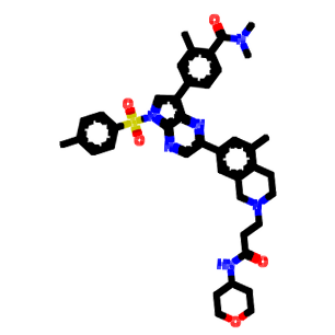 Cc1ccc(S(=O)(=O)n2cc(-c3ccc(C(=O)N(C)C)c(C)c3)c3nc(-c4cc(C)c5c(c4)CN(CCC(=O)NC4CCOCC4)CC5)cnc32)cc1